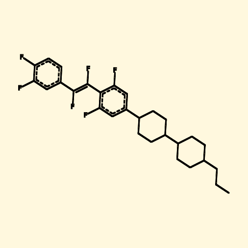 CCCC1CCC(C2CCC(c3cc(F)c(/C(F)=C(\F)c4ccc(F)c(F)c4)c(F)c3)CC2)CC1